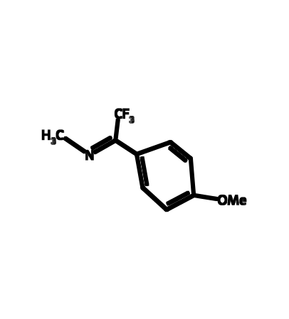 CN=C(c1ccc(OC)cc1)C(F)(F)F